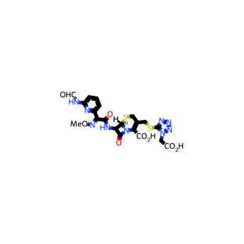 CON=C(C(=O)NC1C(=O)N2C(C(=O)O)=C(CSc3nnnn3CC(=O)O)CS[C@@H]12)c1cccc(NC=O)n1